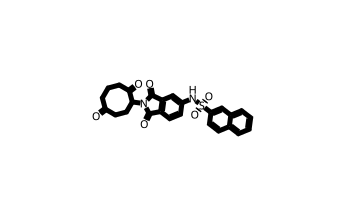 O=C1CCCC(=O)C(N2C(=O)c3ccc(NS(=O)(=O)c4ccc5ccccc5c4)cc3C2=O)CC1